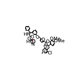 COc1ccc(C(Cc2c(Cl)c[n+](C)cc2Cl)OC(=O)c2ccc(COc3cccc([C@@H](NC(=O)O[C@H]4CN5CCC4CC5)c4ccccc4)c3)o2)cc1OC